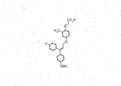 CSc1ccc(C(=CCOc2ccc(OCC(=O)O)c(C)c2)c2ccc(I)cc2)cc1